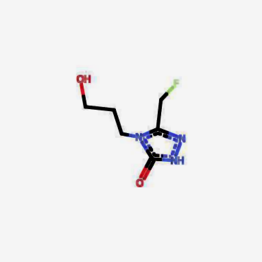 O=c1[nH]nc(CF)n1CCCO